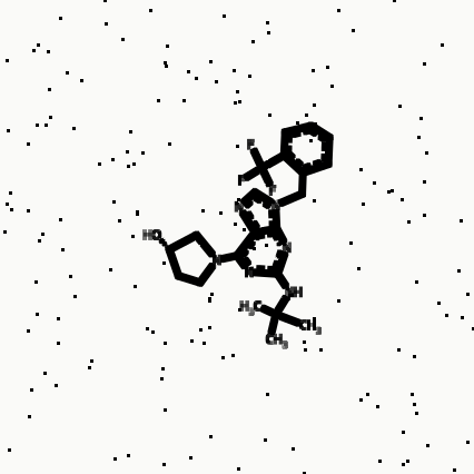 CC(C)(C)Nc1nc(N2CC[C@H](O)C2)c2ncn(Cc3ccccc3C(F)(F)F)c2n1